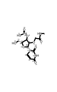 CNC(=O)COC1C(O[PH](=O)S)[C@@H](CO)O[C@H]1n1ccc(=O)[nH]c1=O